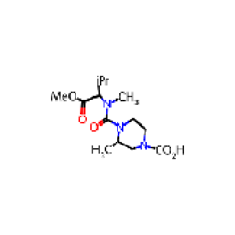 COC(=O)C(C(C)C)N(C)C(=O)N1CCN(C(=O)O)C[C@H]1C